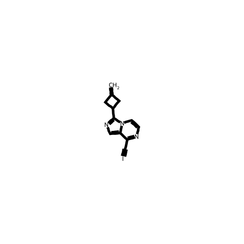 C=C1CC(c2ncc3c(C#I)nccn23)C1